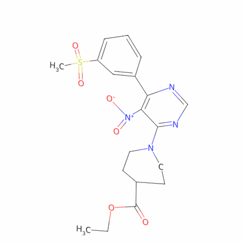 CCOC(=O)C1CCN(c2ncnc(-c3cccc(S(C)(=O)=O)c3)c2[N+](=O)[O-])CC1